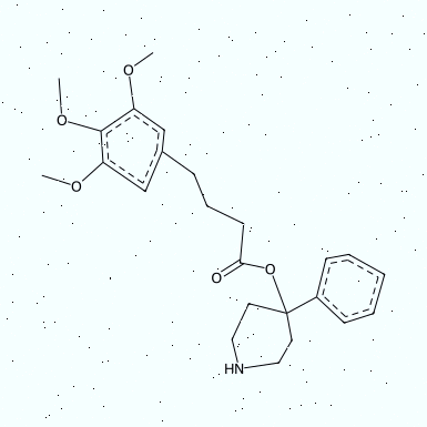 COc1cc(CCCC(=O)OC2(c3ccccc3)CCNCC2)cc(OC)c1OC